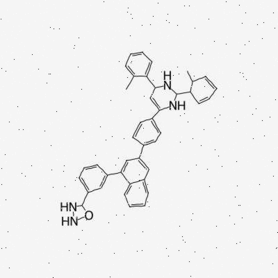 Cc1ccccc1C1C=C(c2ccc(-c3cc(-c4cccc(C5NNO5)c4)c4ccccc4c3)cc2)NC(C2C=CC=CC2C)N1